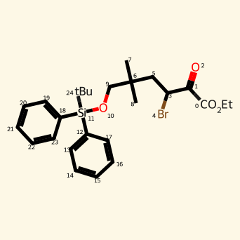 CCOC(=O)C(=O)C(Br)CC(C)(C)CO[Si](c1ccccc1)(c1ccccc1)C(C)(C)C